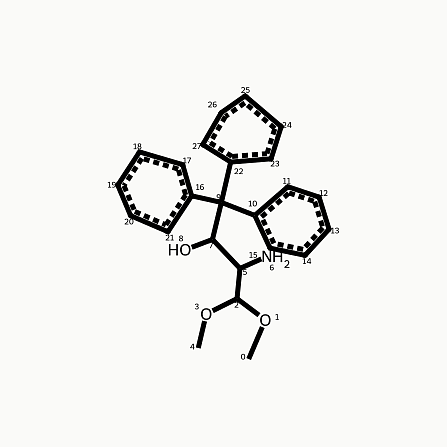 COC(OC)C(N)C(O)C(c1ccccc1)(c1ccccc1)c1ccccc1